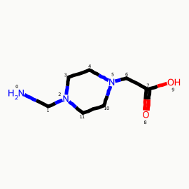 NCN1CCN(CC(=O)O)CC1